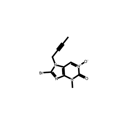 CC#CCn1c(Br)nc2c1c[n+]([O-])c(=O)n2C